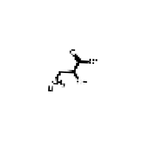 CCC(O)C(=O)[O-].[Li+]